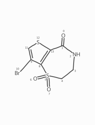 O=C1NCCS(=O)(=O)c2c(Br)csc21